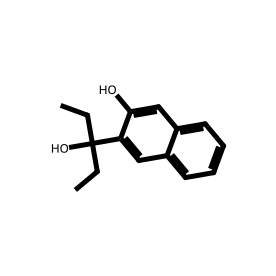 CCC(O)(CC)c1cc2ccccc2cc1O